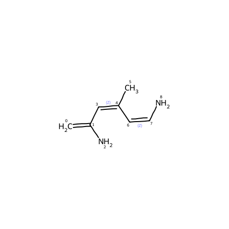 C=C(N)/C=C(C)\C=C/N